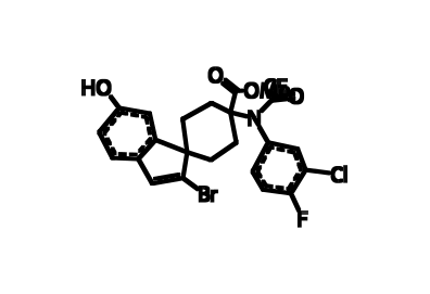 COC(=O)C1(N(C(=O)C(F)(F)F)c2ccc(F)c(Cl)c2)CCC2(CC1)C(Br)=Cc1ccc(O)cc12